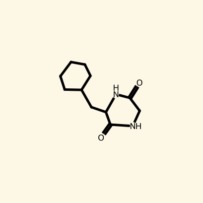 O=C1CNC(=O)C(CC2CCCCC2)N1